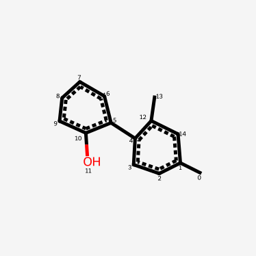 Cc1ccc(-c2[c]cccc2O)c(C)c1